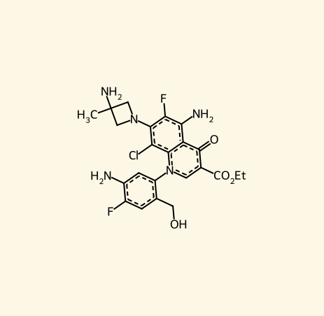 CCOC(=O)c1cn(-c2cc(N)c(F)cc2CO)c2c(Cl)c(N3CC(C)(N)C3)c(F)c(N)c2c1=O